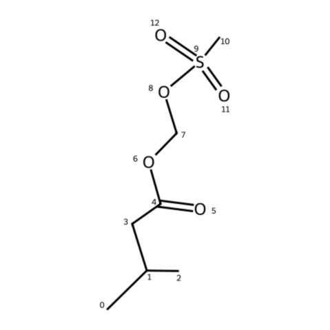 CC(C)CC(=O)OCOS(C)(=O)=O